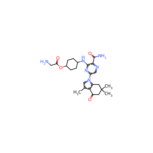 Cc1cn(-c2cnc(C(N)=O)c(NC3CCC(OC(=O)CN)CC3)n2)c2c1C(=O)CC(C)(C)C2